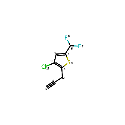 C#C[CH]c1sc(C(F)F)cc1Cl